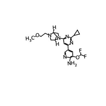 COCCN1C[C@@H]2C[C@H]1CN2c1cc(-c2cnc(N)c(OC(F)F)c2)nc(C2CC2)n1